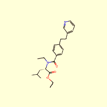 CCOC(=O)[C@H](CC(C)C)N(CC)C(=O)c1ccc(CCc2cccnc2)cc1